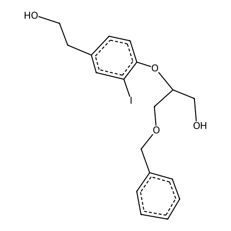 OCCc1ccc(OC(CO)COCc2ccccc2)c(I)c1